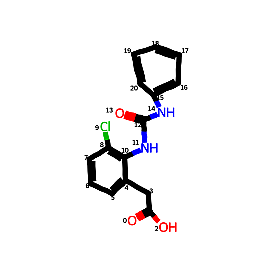 O=C(O)Cc1cccc(Cl)c1NC(=O)Nc1ccccc1